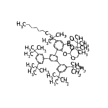 CCCCCCCC[Si](C)(C)c1cc(B2OC(C)(C)C(C)(C)O2)c(OC2CCCCO2)c(-c2cc(-c3cc(C(C)(C)C)cc(C(C)(C)C)c3)cc(-c3cc(C(C)(C)C)cc(C(C)(C)C)c3)c2)c1